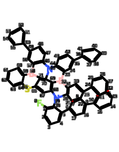 Fc1cccc(-c2ccc(-c3ccccc3)cc2)c1N1c2ccc(-c3ccccc3)cc2B2c3cc(-c4ccccc4)ccc3N3c4ccc(-c5ccccc5)cc4B4c5ccccc5Sc5cc1c2c3c54